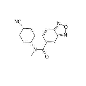 CN(C(=O)c1ccc2nonc2c1)[C@H]1CC[C@@H](C#N)CC1